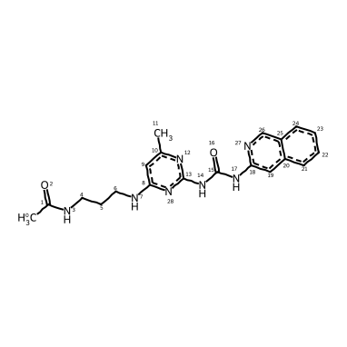 CC(=O)NCCCNc1cc(C)nc(NC(=O)Nc2cc3ccccc3cn2)n1